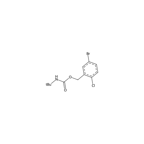 CC(C)(C)NC(=O)OCc1cc(Br)ccc1Cl